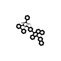 NC(NC(/N=C/c1ccc(-c2c3ccccc3c(-c3ccc4ccccc4c3)c3c2ccc2ccccc23)cc1)c1ccccc1-c1ccccc1)c1ccccc1